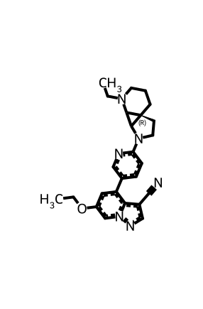 CCOc1cc(-c2ccc(N3CC[C@]45CCCN(CC)C4C35)nc2)c2c(C#N)cnn2c1